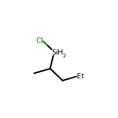 CCCC(C)[SiH2]Cl